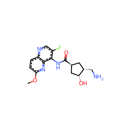 COc1ccc2ncc(F)c(NC(=O)[C@H]3C[C@H](CN)[C@H](O)C3)c2n1